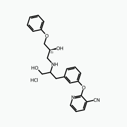 Cl.N#Cc1cccnc1Oc1cccc(CC(CO)NC[C@H](O)COc2ccccc2)c1